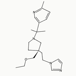 CCOC[C@@]1(CCn2ccnc2)CCN(C(C)(C)c2ccc(C)nc2)C1